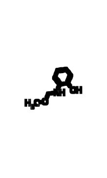 COCNc1ccccc1O